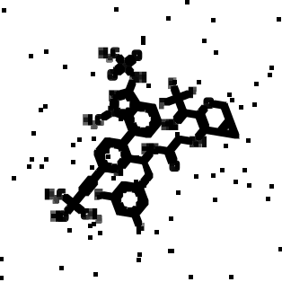 Cn1nc(NS(C)(=O)=O)c2cccc(-c3ccc(C#CC(C)(C)O)nc3[C@H](Cc3cc(F)cc(F)c3)NC(=O)CNC3=C(C(=N)C(F)(F)F)OCC4CC34)c21